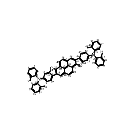 Cc1ccccc1N(c1ccc2c(c1)oc1c2cc2ccc3c4oc5cc(N(c6ccccc6C)c6ccccc6C)ccc5c4cc4ccc1c2c43)c1ccccc1C